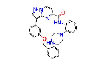 O=C(Nc1ccccc1N1CCNCC1)c1ccn2ncc(-c3cccc(OCc4ccccc4)c3)c2n1